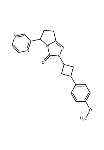 COc1ccc(C2CC(n3nc4n(c3=O)C(c3cnccn3)CC4)C2)cc1